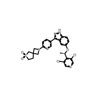 C[C@@H](Oc1ccc2[nH]nc(-c3ccc(N4CC5(CCS(=O)(=O)C5)C4)nc3)c2c1)c1c(Cl)cncc1Cl